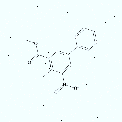 COC(=O)c1cc(-c2ccccc2)cc([N+](=O)[O-])c1C